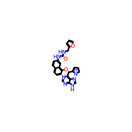 O=C(NCc1ccco1)Nc1ccc2cccc(O[C@@H](c3ncnc4[nH]cnc34)C3CCCN3)c2c1